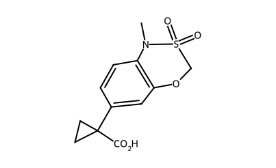 CN1c2ccc(C3(C(=O)O)CC3)cc2OCS1(=O)=O